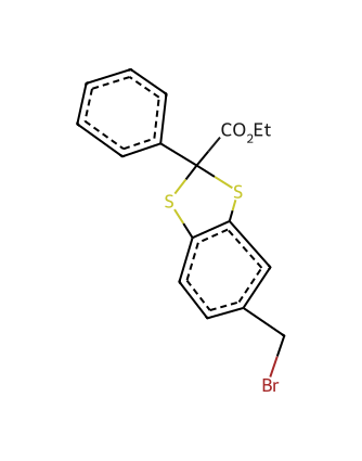 CCOC(=O)C1(c2ccccc2)Sc2ccc(CBr)cc2S1